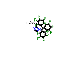 CCCCCCCCCCCc1nccn1[B-](c1c(F)c(F)c(F)c(F)c1F)(c1c(F)c(F)c(F)c(F)c1F)c1c(F)c(F)c(F)c(F)c1F